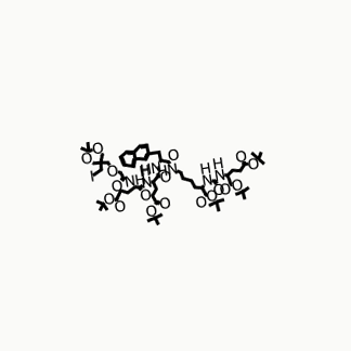 CC(C)(C)OC(=O)CCC(NC(=O)COCC1(CI)COC(C)(C)OC1)C(=O)NC(CCC(=O)OC(C)(C)C)C(=O)NC(Cc1ccc2ccccc2c1)C(=O)NCCCCC(NC(=O)NC(CCC(=O)OC(C)(C)C)C(=O)OC(C)(C)C)C(=O)OC(C)(C)C